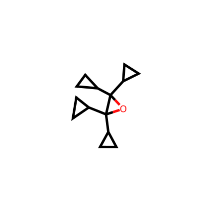 C1CC1C1(C2CC2)OC1(C1CC1)C1CC1